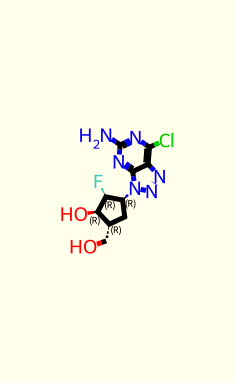 Nc1nc(Cl)c2nnn([C@@H]3C[C@H](CO)[C@@H](O)[C@@H]3F)c2n1